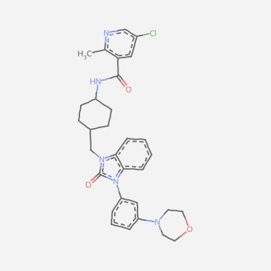 Cc1ncc(Cl)cc1C(=O)NC1CCC(Cn2c(=O)n(-c3cccc(N4CCOCC4)c3)c3ccccc32)CC1